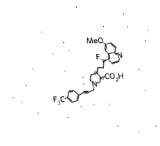 COc1ccc2nccc([C@@H](F)CC[C@@H]3CCN(CC#Cc4ccc(C(F)(F)F)cc4)C[C@@H]3C(=O)O)c2c1